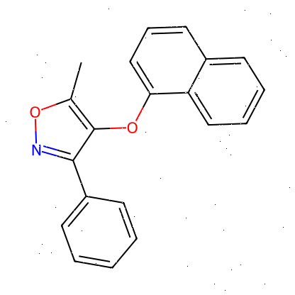 Cc1onc(-c2ccccc2)c1Oc1cccc2ccccc12